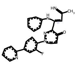 CC(=N)/C=C(\Nc1ccccc1)c1nn(-c2ccc(-c3ccccn3)cc2F)ccc1=O